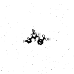 O=C(O)C1C2CCC(CC2)C1Nc1nc(Br)nc(-c2ccc(F)s2)c1F